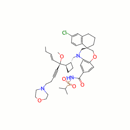 CC/C=C/[C@](C#CCCN1CCOCC1)(OC)[C@@H]1CC[C@H]1CN1C[C@@]2(CCCc3cc(Cl)ccc32)COc2ccc(C(=O)NS(=O)(=O)C(C)C)cc21